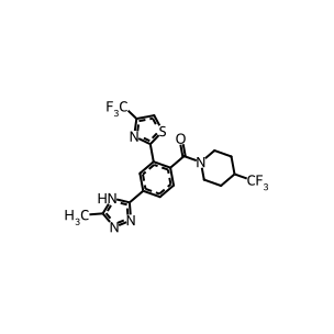 Cc1nnc(-c2ccc(C(=O)N3CCC(C(F)(F)F)CC3)c(-c3nc(C(F)(F)F)cs3)c2)[nH]1